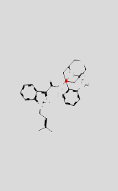 CC(C)=CCn1nc(C(=O)NC2CC3COCC(C2)N3Cc2ccccc2[N+](=O)[O-])c2ccccc21